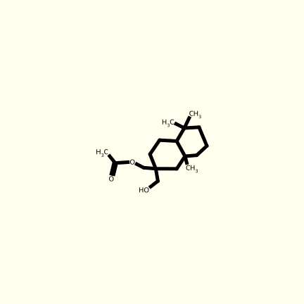 CC(=O)OCC1(CO)CCC2C(C)(C)CCCC2(C)C1